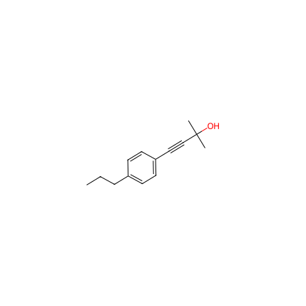 CCCc1ccc(C#CC(C)(C)O)cc1